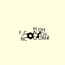 COC(=O)[C@H](Nc1ccc(C#N)c(C(F)(F)F)c1)C(C)O